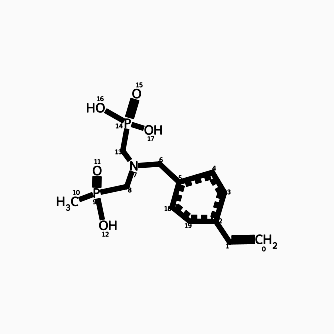 C=Cc1ccc(CN(CP(C)(=O)O)CP(=O)(O)O)cc1